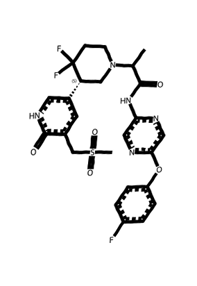 CC(C(=O)Nc1cnc(Oc2ccc(F)cc2)cn1)N1CCC(F)(F)[C@@H](c2c[nH]c(=O)c(CS(C)(=O)=O)c2)C1